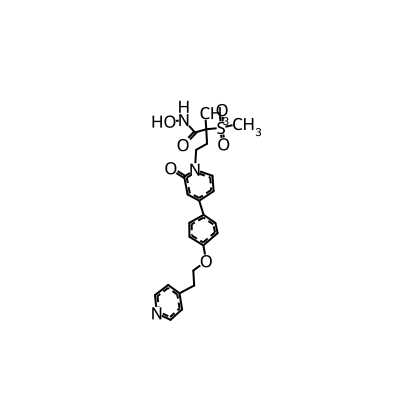 CC(CCn1ccc(-c2ccc(OCCc3ccncc3)cc2)cc1=O)(C(=O)NO)S(C)(=O)=O